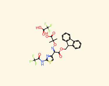 CC(C)(ON=C(C(=O)OCC1c2ccccc2-c2ccccc21)c1csc(NC(=O)C(F)(F)F)n1)C(=O)O.O=C(O)C(F)(F)F